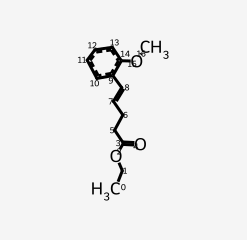 CCOC(=O)CC/C=C/c1ccccc1OC